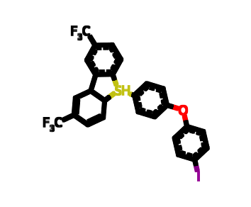 FC(F)(F)C1=CC2c3cc(C(F)(F)F)ccc3[SH](c3ccc(Oc4ccc(I)cc4)cc3)C2C=C1